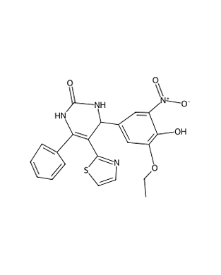 CCOc1cc(C2NC(=O)NC(c3ccccc3)=C2c2nccs2)cc([N+](=O)[O-])c1O